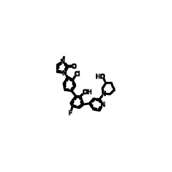 Cn1ccn(-c2ccc(-c3cc(F)cc(-c4ccnc(N5CCC[C@H](O)C5)c4)c3O)cc2Cl)c1=O